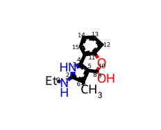 CCNc1[nH]c2c(c1C)C(O)Oc1ccccc1-2